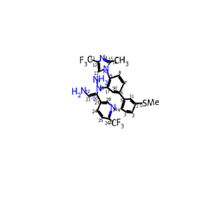 CSc1cccc(-c2ccc(-n3cc(C(F)(F)F)nc3C)c(N(N)/C(=C\N)c3ccc(C(F)(F)F)nc3)c2)c1